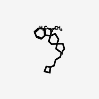 CN(C)C1(c2ccccc2)CCC2(CCN(CCCC3CCC3)C2)CC1